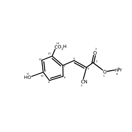 CCCOC(=O)/C(C#N)=C/c1ccc(O)cc1C(=O)O